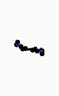 CC1(C)c2cc(/C=C/c3ccc4c(ccc5cc(N6CCCc7ccccc76)ccc54)c3)ccc2-c2ccc(N3c4ccccc4CCC3(C)C)cc21